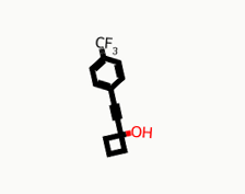 OC1(C#Cc2ccc(C(F)(F)F)cc2)CCC1